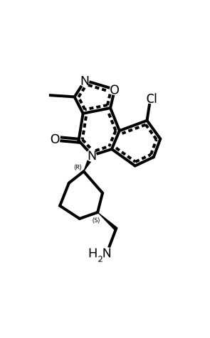 Cc1noc2c1c(=O)n([C@@H]1CCC[C@H](CN)C1)c1cccc(Cl)c21